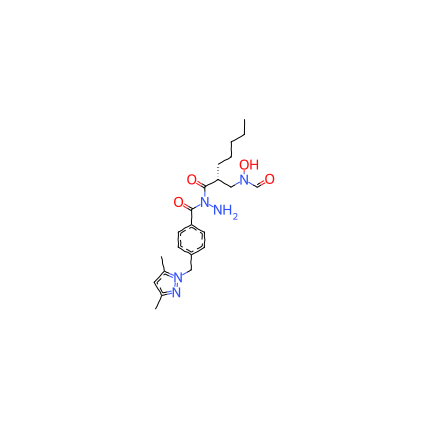 CCCCC[C@H](CN(O)C=O)C(=O)N(N)C(=O)c1ccc(Cn2nc(C)cc2C)cc1